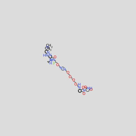 C=N/C=C\c1nc(Nc2cc(NC3CC3)c(C(=O)NCC(F)COCCN3CCN(CCOCCOCCOCCOCCNc4cccc5c4C(=O)N(C4CCC(=O)NC4=O)C5=O)CC3)cn2)ccc1C